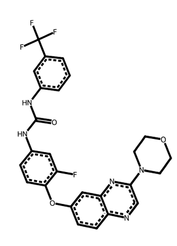 O=C(Nc1cccc(C(F)(F)F)c1)Nc1ccc(Oc2ccc3ncc(N4CCOCC4)nc3c2)c(F)c1